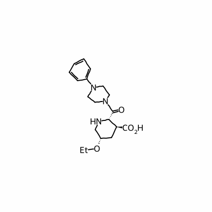 CCO[C@@H]1CN[C@H](C(=O)N2CCN(c3ccccc3)CC2)[C@@H](C(=O)O)C1